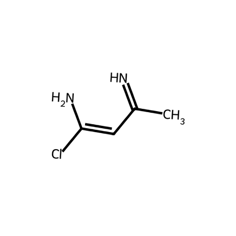 CC(=N)/C=C(\N)Cl